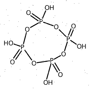 O=P1(O)OP(=O)(O)OP(=O)(O)OP(=O)(O)O1